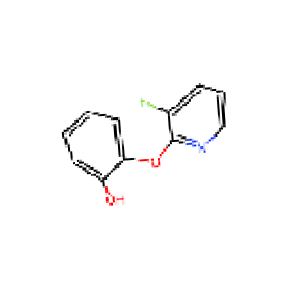 Oc1ccccc1Oc1ncccc1F